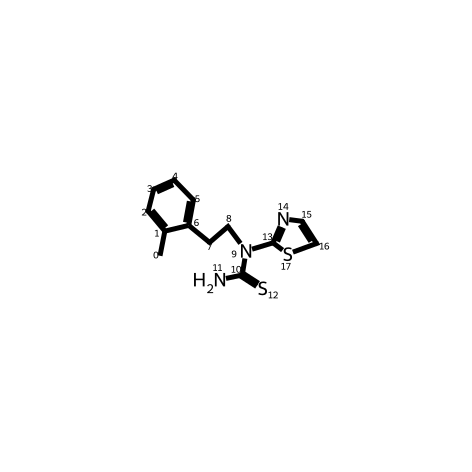 Cc1ccccc1CCN(C(N)=S)c1nccs1